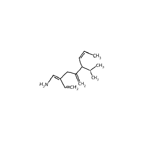 C=C/C(=C\N)CC(=C)C(/C=C\C)C(C)C